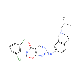 CC(CN1CCc2ccc(Nc3ncc4c(n3)OCN(c3c(Cl)cccc3Cl)C4=O)cc2C1)C(F)(F)F